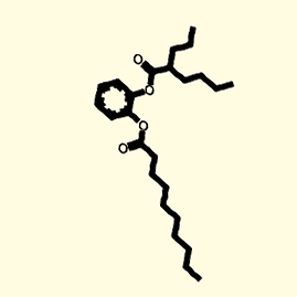 CCCCCCCCCC(=O)Oc1ccccc1OC(=O)C(CCC)CCCC